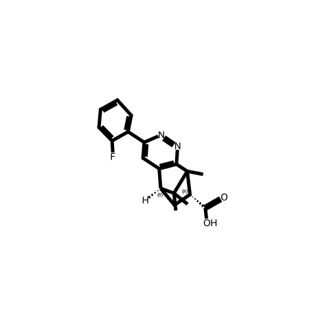 CC1(C)[C@H]2C[C@@H](C(=O)O)C1(C)c1nnc(-c3ccccc3F)cc12